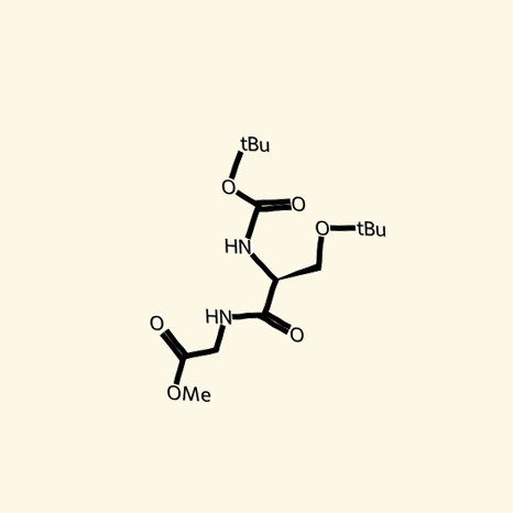 COC(=O)CNC(=O)[C@H](COC(C)(C)C)NC(=O)OC(C)(C)C